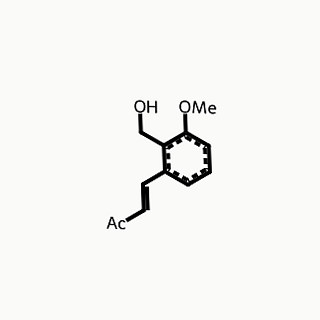 COc1cccc(/C=C/C(C)=O)c1CO